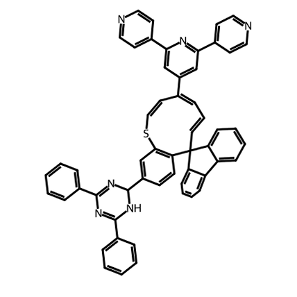 C1=C/C(c2cc(-c3ccncc3)nc(-c3ccncc3)c2)=C\C=C\C2(c3ccc(C4N=C(c5ccccc5)N=C(c5ccccc5)N4)cc3S\1)c1ccccc1-c1ccccc12